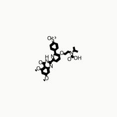 COc1cc(OC)c2c(=O)[nH]c(-c3ccc(OCCN(C(=O)O)C(C)C)c(-c4ccc([S+](C)[O-])cc4)n3)nc2c1